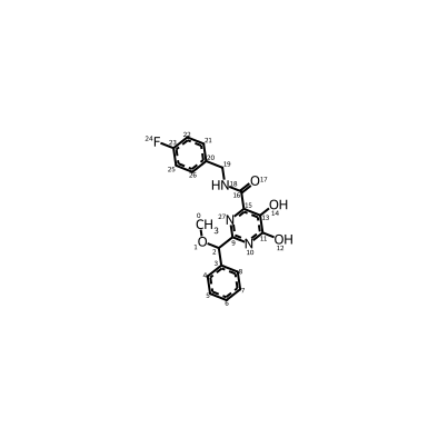 COC(c1ccccc1)c1nc(O)c(O)c(C(=O)NCc2ccc(F)cc2)n1